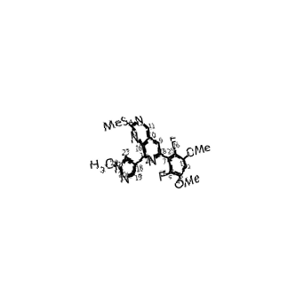 COc1cc(OC)c(F)c(-c2cc3cnc(SC)nc3c(-c3cnn(C)c3)n2)c1F